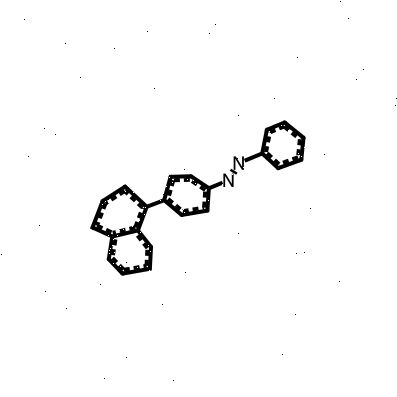 c1ccc(/N=N/c2ccc(-c3cccc4ccccc34)cc2)cc1